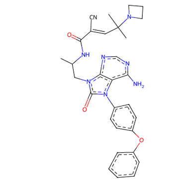 CC(Cn1c(=O)n(-c2ccc(Oc3ccccc3)cc2)c2c(N)ncnc21)NC(=O)C(C#N)=CC(C)(C)N1CCC1